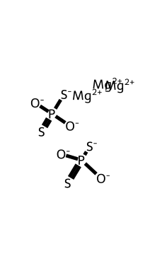 [Mg+2].[Mg+2].[Mg+2].[O-]P([O-])(=S)[S-].[O-]P([O-])(=S)[S-]